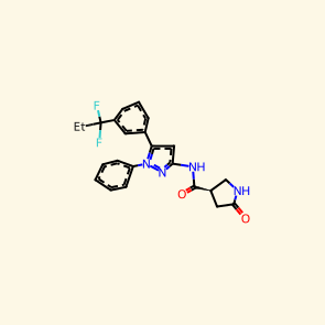 CCC(F)(F)c1cccc(-c2cc(NC(=O)[C@H]3CNC(=O)C3)nn2-c2ccccc2)c1